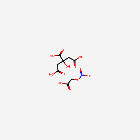 O=C(O)CC(O)(CC(=O)O)C(=O)O.O=C(O)CO[N+](=O)[O-]